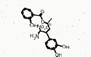 C[C@@H](CC(c1ccc(O)c(O)c1)C(N)C(=O)O)OC(=O)c1ccccc1O